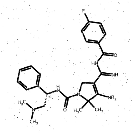 CN(C)C[C@@H](NC(=O)N1CC(C(=N)NC(=O)c2ccc(F)cc2)=C(N)C1(C)C)c1ccccc1